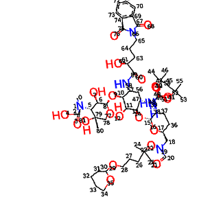 CN(C(=O)O)[C@@H]1[C@@H](O)[C@@H](O[C@@H]2[C@H](O)[C@H](O[C@H]3O[C@H](CN(C=O)OC(C)(C)CCCOC4CCCCO4)CC[C@H]3NC(=O)OC(C)(C)C)[C@@H](NC(=O)OC(C)(C)C)C[C@H]2NC(=O)[C@@H](O)CCCN2C(=O)c3ccccc3C2=O)OC[C@]1(C)O